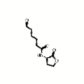 O=CCCCCC(=O)N[C@H]1CCOC1=O